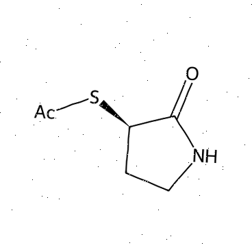 CC(=O)S[C@@H]1CCNC1=O